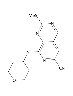 CSc1ncc2cc(C#N)nc(NC3CCOCC3)c2n1